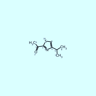 CC(=O)c1nc(C(C)C)cs1